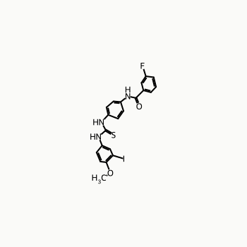 COc1ccc(NC(=S)Nc2ccc(NC(=O)c3cccc(F)c3)cc2)cc1I